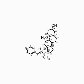 CC(CCc1ccncc1)[C@H]1CCC2C3CC=C4CC(O)CCC4(C)C3CCC21C